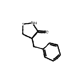 O=C1NSCC1Cc1ccccc1